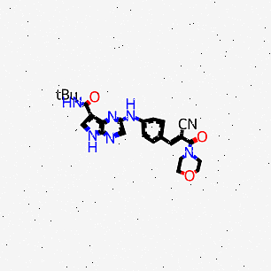 CC(C)(C)NC(=O)c1c[nH]c2ncc(Nc3ccc(/C=C(\C#N)C(=O)N4CCOCC4)cc3)nc12